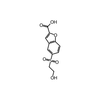 O=C(O)c1cc2cc(S(=O)(=O)CCO)ccc2o1